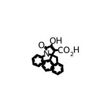 O=C(O)C1=C(O)C(=O)N(c2ccccc2)C1(Cc1ccccc1)c1ccccc1